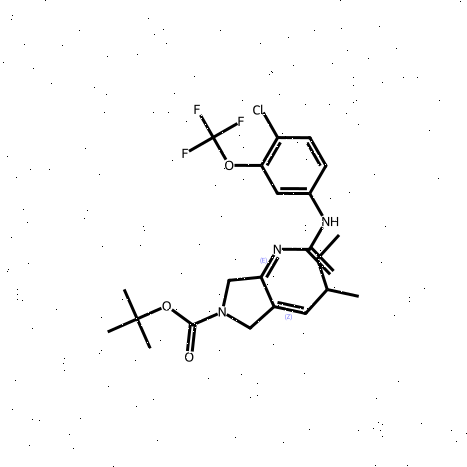 C=C(/N=C1/CN(C(=O)OC(C)(C)C)C/C1=C/C(C)CC)Nc1ccc(Cl)c(OC(F)(F)F)c1